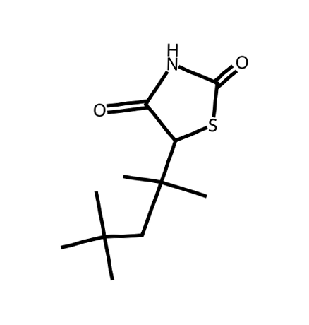 CC(C)(C)CC(C)(C)C1SC(=O)NC1=O